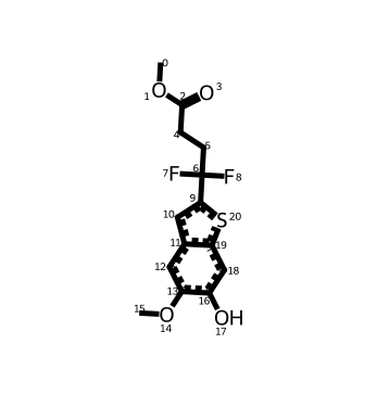 COC(=O)CCC(F)(F)c1cc2cc(OC)c(O)cc2s1